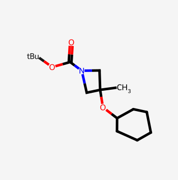 CC(C)(C)OC(=O)N1CC(C)(OC2CCCCC2)C1